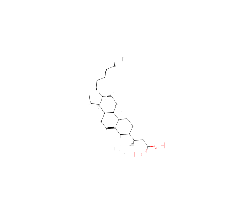 CC(C)CCC[C@@H](C)[C@H]1CCC2C3CC=C4CC(C(CC(O)O)C(=O)O)CC[C@]4(C)C3CC[C@@]21C